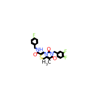 Cc1c2n(c(=O)n(Cc3ccc(F)c(F)c3)c1=O)C=C(C(=O)NCc1ccc(F)cc1)SC2